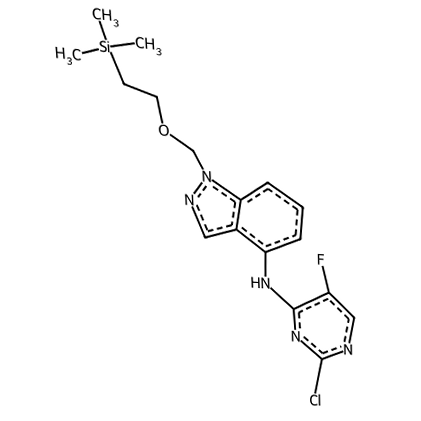 C[Si](C)(C)CCOCn1ncc2c(Nc3nc(Cl)ncc3F)cccc21